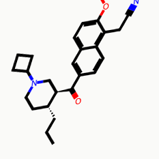 CCC[C@@H]1CCN(C2CCC2)C[C@H]1C(=O)c1ccc2c(CC#N)c(OC)ccc2c1